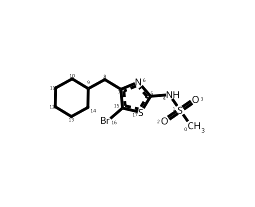 CS(=O)(=O)Nc1nc(CC2CCCCC2)c(Br)s1